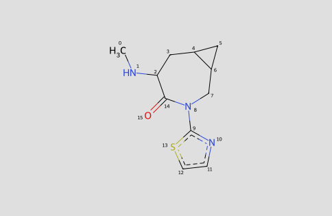 CNC1CC2CC2CN(c2nccs2)C1=O